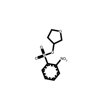 O=[N+]([O-])c1ccccc1S(=O)(=O)OC1CCOC1